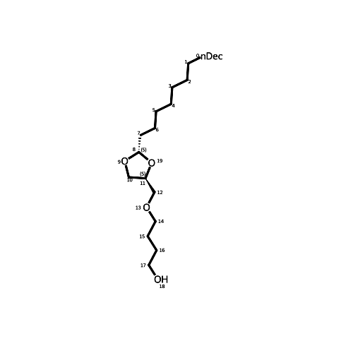 CCCCCCCCCCCCCCCCC[C@H]1OC[C@H](COCCCCO)O1